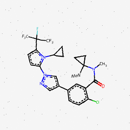 CNC1(N(C)C(=O)c2cc(-c3cnn(-c4ccc(C(F)(C(F)(F)F)C(F)(F)F)n4C4CC4)c3)ccc2Cl)CC1